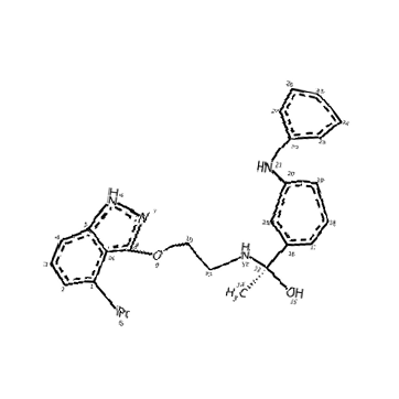 CC(C)c1cccc2[nH]nc(OCCN[C@](C)(O)c3cccc(Nc4ccccc4)c3)c12